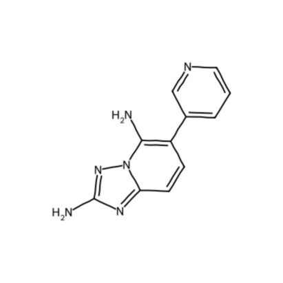 Nc1nc2ccc(-c3cccnc3)c(N)n2n1